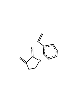 C=C1CCOC1=O.C=Cc1ccccc1